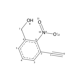 C#Cc1cccc([CH]O)c1[N+](=O)[O-]